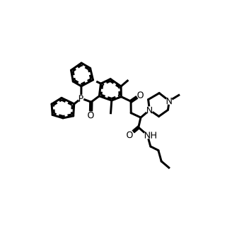 CCCCNC(=O)C(CC(=O)c1c(C)cc(C)c(C(=O)P(c2ccccc2)c2ccccc2)c1C)N1CCN(C)CC1